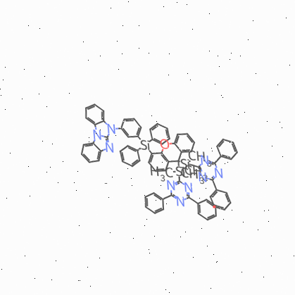 C[Si](C)(c1nc(-c2ccccc2)nc(-c2ccccc2)n1)C1([Si](C)(C)c2nc(-c3ccccc3)nc(-c3ccccc3)n2)c2ccccc2Oc2c1cccc2[Si](c1ccccc1)(c1ccccc1)c1cccc(-n2c3ccccc3n3c4ccccc4nc23)c1